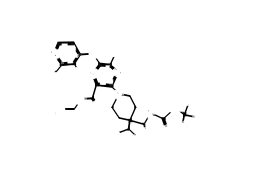 CCOC(=O)c1nc(Sc2ccnc(Cl)c2Cl)c(C)nc1N1CCC(C(F)F)(C(C)NC(=O)OC(C)(C)C)CC1